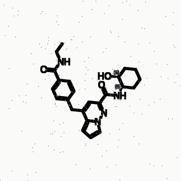 CCNC(=O)c1ccc(Cc2cc(C(=O)N[C@H]3CCCC[C@@H]3O)nn3cccc23)cc1